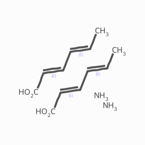 C/C=C/C=C/C(=O)O.C/C=C/C=C/C(=O)O.N.N